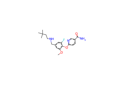 COc1cc(CNCCC(C)(C)C)cc(F)c1Oc1ccc(C(N)=O)cn1